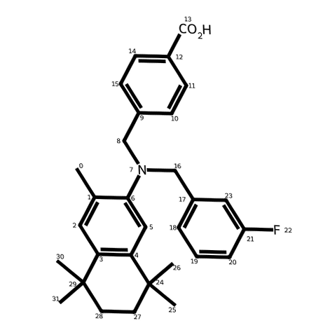 Cc1cc2c(cc1N(Cc1ccc(C(=O)O)cc1)Cc1cccc(F)c1)C(C)(C)CCC2(C)C